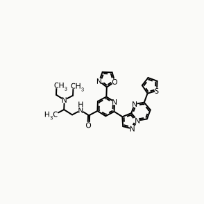 CCN(CC)C(C)CNC(=O)c1cc(-c2ncco2)nc(-c2cnn3ccc(-c4cccs4)nc23)c1